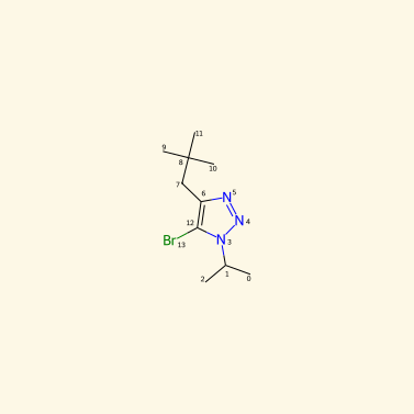 CC(C)n1nnc(CC(C)(C)C)c1Br